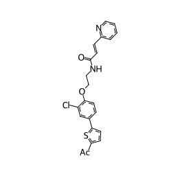 CC(=O)c1ccc(-c2ccc(OCCNC(=O)C=Cc3ccccn3)c(Cl)c2)s1